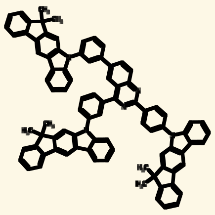 CC1(C)c2ccccc2-c2cc3c4ccccc4n(-c4ccc(-c5nc(-c6cccc(-n7c8ccccc8c8cc9c(cc87)C(C)(C)c7ccccc7-9)c6)c6cc(-c7cccc(-n8c9ccccc9c9cc%10c(cc98)C(C)(C)c8ccccc8-%10)c7)ccc6n5)cc4)c3cc21